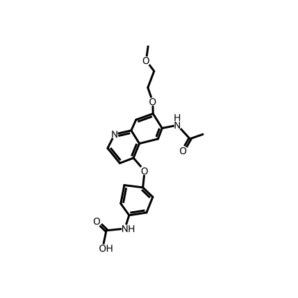 COCCOc1cc2nccc(Oc3ccc(NC(=O)O)cc3)c2cc1NC(C)=O